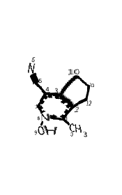 Cc1c2c(c(C#N)c[n+]1O)CCC2